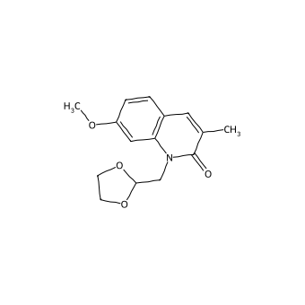 COc1ccc2cc(C)c(=O)n(CC3OCCO3)c2c1